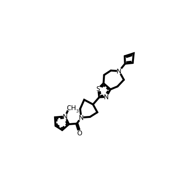 Cn1cccc1C(=O)N1CCC(c2nc3c(s2)CCN(C2=CC=C2)CC3)CC1